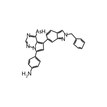 Nc1ccc(-c2cc(-c3ccc4cn(Cc5ccccc5)nc4c3)c3c([AsH2])ncnn23)cc1